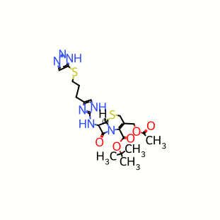 CC(=O)OCC1=C(C(=O)OC(C)(C)C)N2C(=O)C(Nc3nc(CCCSc4cnn[nH]4)c[nH]3)[C@@H]2SC1